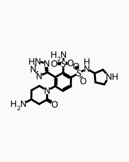 NC1CCN(c2ccc(S(=O)(=O)NC3CCNC3)c(S(N)(=O)=O)c2-c2nn[nH]n2)C(=O)C1